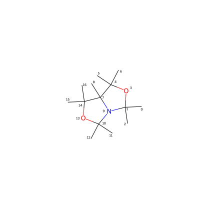 CC1(C)OC(C)(C)C2(C)N1C(C)(C)OC2(C)C